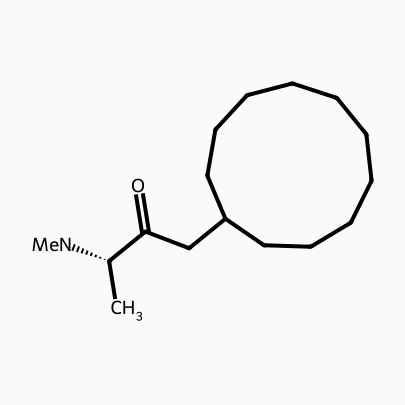 CN[C@@H](C)C(=O)CC1CCCCCCCCCC1